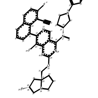 C#Cc1c(F)ccc2cccc(-c3ncc4c(N(C)[C@@H]5CCN(C(=O)C=C)C5)nc(OC[C@@]56CCCN5C[C@H](F)C6)nc4c3F)c12